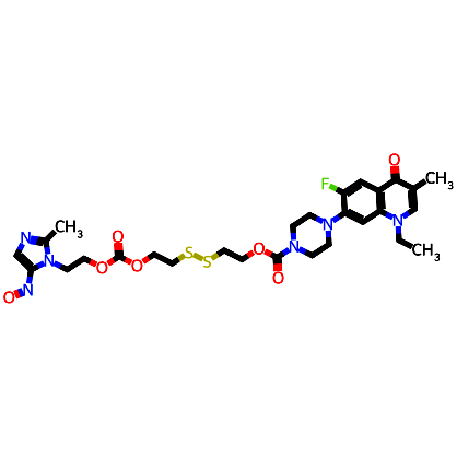 CCn1cc(C)c(=O)c2cc(F)c(N3CCN(C(=O)OCCSSCCOC(=O)OCCn4c(N=O)cnc4C)CC3)cc21